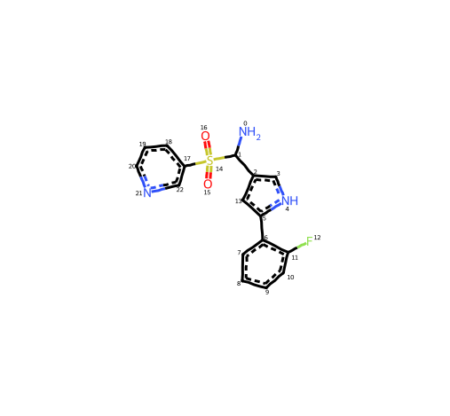 NC(c1c[nH]c(-c2ccccc2F)c1)S(=O)(=O)c1cccnc1